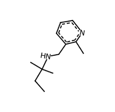 CCC(C)(C)NCc1cccnc1C